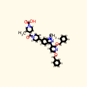 C[C@H]1CN(C(=O)O)CC[C@H]1C(=O)N1CC=C(c2ccc3c(-c4ccc(OCc5ccccc5)nc4OCc4ccccc4)nn(C)c3c2)CC1